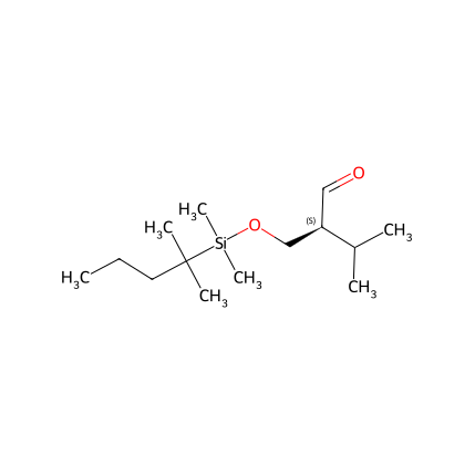 CCCC(C)(C)[Si](C)(C)OC[C@@H](C=O)C(C)C